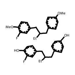 CCC(Cc1ccc(O)cc1)Cc1ccc(O)c(F)c1.CCC(Cc1ccc(OC)cc1)Cc1ccc(OC)c(F)c1